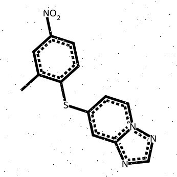 Cc1cc([N+](=O)[O-])ccc1Sc1ccn2ncnc2c1